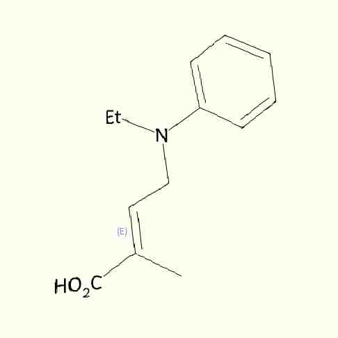 CCN(C/C=C(\C)C(=O)O)c1ccccc1